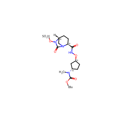 CN(C(=O)OC(C)(C)C)[C@H]1CC[C@H](ONC(=O)[C@@H]2CC[C@@H]3CN2C(=O)N3OS(=O)(=O)O)C1